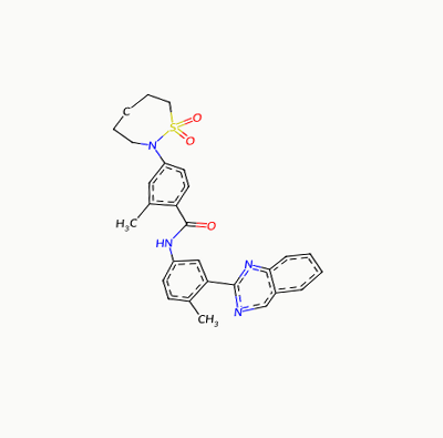 Cc1cc(N2CCCCCS2(=O)=O)ccc1C(=O)Nc1ccc(C)c(-c2ncc3ccccc3n2)c1